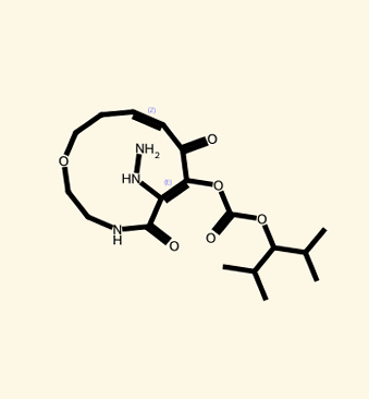 CC(C)C(OC(=O)O/C1=C(/NN)C(=O)NCCOCC/C=C\C1=O)C(C)C